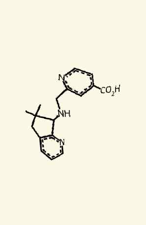 CC1(C)Cc2cccnc2C1NCc1cc(C(=O)O)ccn1